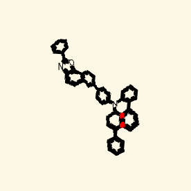 C1=CC(N(c2ccc(-c3ccc4c(ccc5nc(-c6ccccc6)oc54)c3)cc2)c2ccccc2-c2ccccc2)CC=C1c1ccccc1